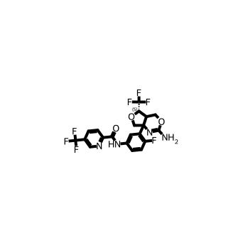 NC1=NC2(c3cc(NC(=O)c4ccc(C(F)(F)F)cn4)ccc3F)CO[C@H](C(F)(F)F)C2CO1